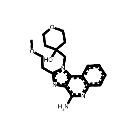 COCCc1nc2c(N)nc3ccccc3c2n1CC1(O)CCOCC1